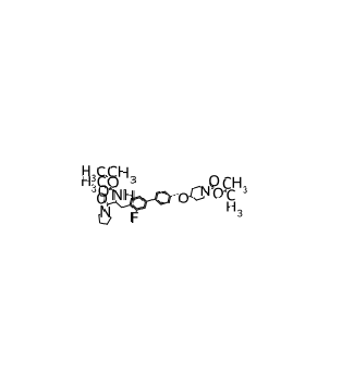 CC(C)OC(=O)N1CCC(OCc2ccc(-c3ccc(CC(NC(=O)OC(C)(C)C)C(=O)N4CCCC4)c(F)c3)cc2)CC1